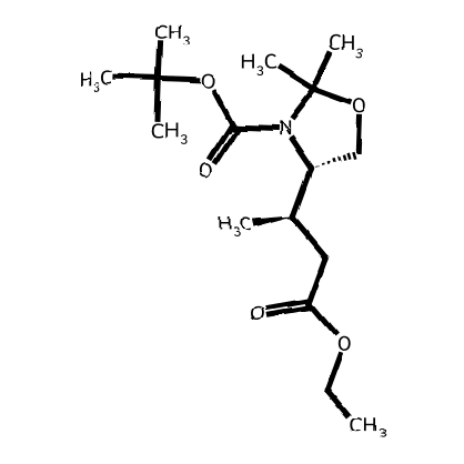 CCOC(=O)C[C@@H](C)[C@H]1COC(C)(C)N1C(=O)OC(C)(C)C